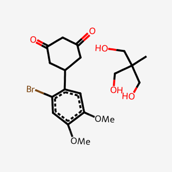 CC(CO)(CO)CO.COc1cc(Br)c(C2CC(=O)CC(=O)C2)cc1OC